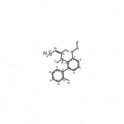 CCCc1cccc(-c2ccccc2C)c1N(C)/C(C)=C\N